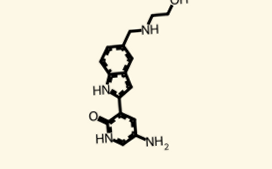 Nc1c[nH]c(=O)c(-c2cc3cc(CNCCO)ccc3[nH]2)c1